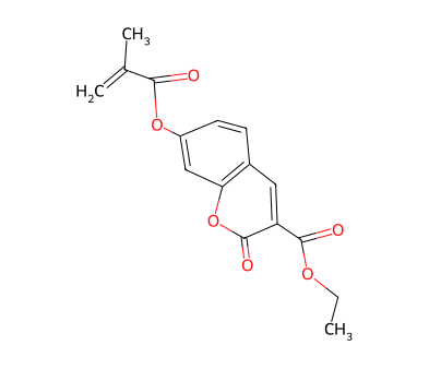 C=C(C)C(=O)Oc1ccc2cc(C(=O)OCC)c(=O)oc2c1